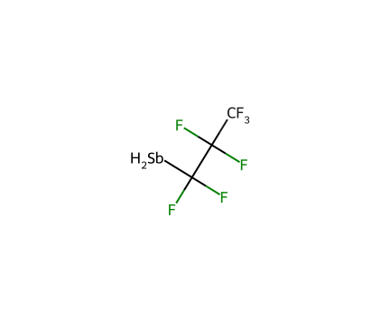 FC(F)(F)C(F)(F)[C](F)(F)[SbH2]